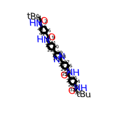 CC(C)(C)C(=O)Nc1ccc(C(=O)Nc2ccc(-c3cnc(-c4ccc(NC(=O)c5ccc(NC(=O)C(C)(C)C)cc5)cc4)nc3)cc2)cc1